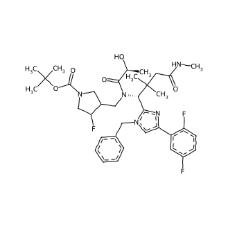 CNC(=O)CC(C)(C)[C@H](c1nc(-c2cc(F)ccc2F)cn1Cc1ccccc1)N(CC1CN(C(=O)OC(C)(C)C)CC1F)C(=O)[C@H](C)O